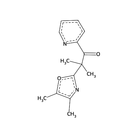 Cc1nc(C(C)(C)C(=O)c2ccccn2)oc1C